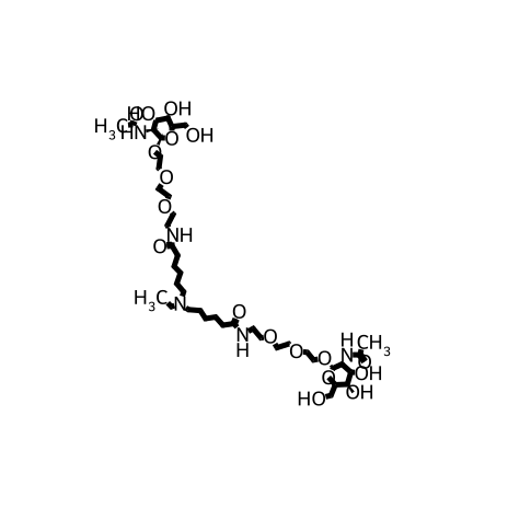 CCN(CCCCCC(=O)NCCOCCOCCO[C@@H]1OC(CO)[C@H](O)C(O)[C@@H]1NC(C)=O)CCCCCC(=O)NCCOCCOCCO[C@@H]1OC(CO)[C@H](O)C(O)[C@@H]1NC(C)=O